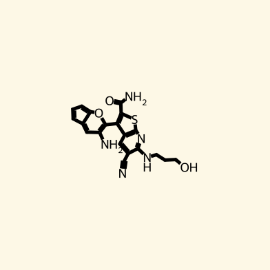 N#Cc1cc2c(-c3oc4cccc-4cc3N)c(C(N)=O)sc2nc1NCCCO